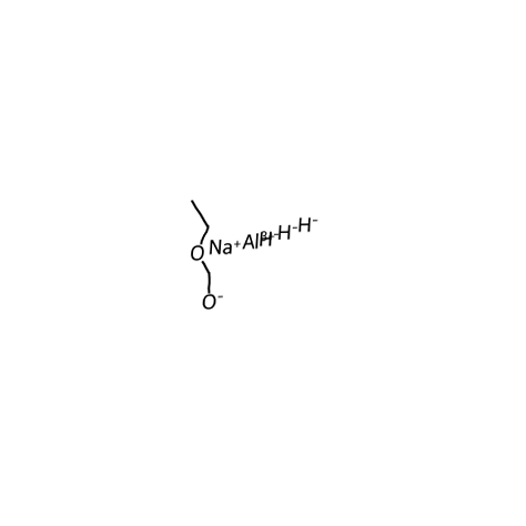 CCOC[O-].[Al+3].[H-].[H-].[H-].[Na+]